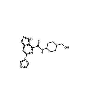 O=C(NC1CCC(CO)CC1)c1nc(-n2ccnc2)cc2cn[nH]c12